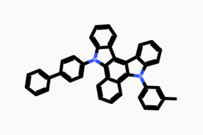 Cc1cccc(-n2c3ccccc3c3c4c5ccccc5n(-c5ccc(-c6ccccc6)cc5)c4c4ccccc4c32)c1